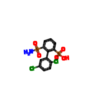 NS(=O)(=O)c1cccc(S(=O)(=O)O)c1-c1cc(Cl)ccc1Cl